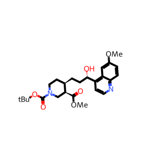 COC(=O)[C@H]1CN(C(=O)OC(C)(C)C)CC[C@H]1CC[C@H](O)c1ccnc2ccc(OC)cc12